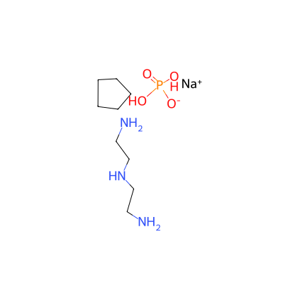 C1CCCC1.NCCNCCN.O=P([O-])(O)O.[Na+]